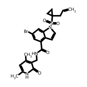 C=CCC1(S(=O)(=O)n2ccc3c(C(=O)NCc4c(C)cc(C)[nH]c4=O)cc(Br)cc32)CC1